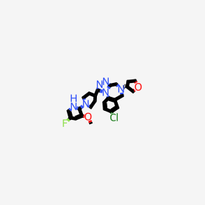 COC1=CC(F)=CNC1N1CCC(c2nnc3n2-c2ccc(Cl)cc2CN([C@@H]2CCOC2)C3)CC1